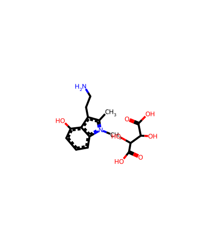 Cc1c(CCN)c2c(O)cccc2n1C.O=C(O)C(O)C(O)C(=O)O